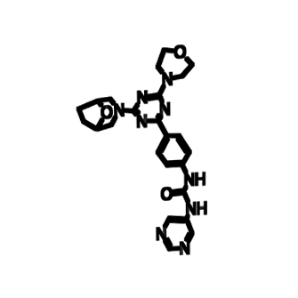 O=C(Nc1ccc(-c2nc(N3CCOCC3)nc(N3CC4CCC(C3)O4)n2)cc1)Nc1cncnc1